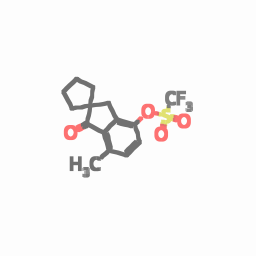 Cc1ccc(OS(=O)(=O)C(F)(F)F)c2c1C(=O)C1(CCCC1)C2